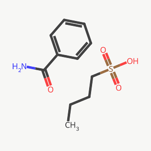 CCCCS(=O)(=O)O.NC(=O)c1ccccc1